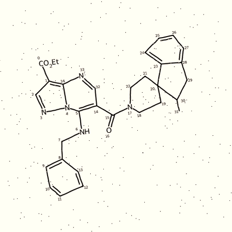 CCOC(=O)c1cnn2c(NCc3ccccc3)c(C(=O)N3CCC4(CC3)c3ccccc3CC4C)cnc12